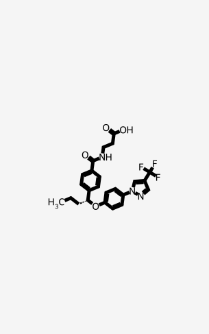 CCC[C@@H](Oc1ccc(-n2cc(C(F)(F)F)cn2)cc1)c1ccc(C(=O)NCCC(=O)O)cc1